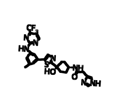 Cc1cc(Nc2nccc(C(F)(F)F)n2)cc(-c2cnc([C@]3(O)CC[C@@H](NC(=O)Cc4c[nH]cn4)CC3)s2)c1